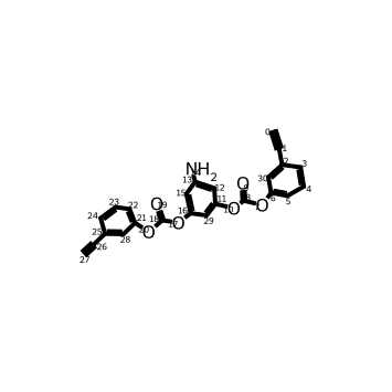 C#Cc1cccc(OC(=O)Oc2cc(N)cc(OC(=O)Oc3cccc(C#C)c3)c2)c1